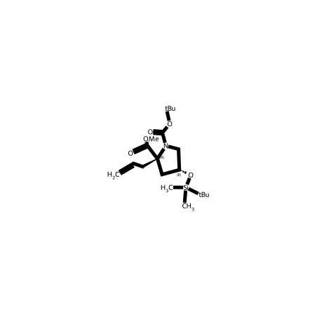 C=CC[C@]1(C(=O)OC)C[C@@H](O[Si](C)(C)C(C)(C)C)CN1C(=O)OC(C)(C)C